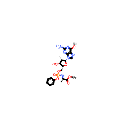 CCOc1nc(N)nc2c1ncn2[C@@H]1O[C@H](COP(=O)(N[C@H](C)C(=O)OC(C)C)Oc2ccccc2)[C@@H](O)[C@@H]1C